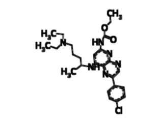 CCOC(=O)Nc1cc(NC(C)CCCN(CC)CC)c2nc(-c3ccc(Cl)cc3)cnc2n1